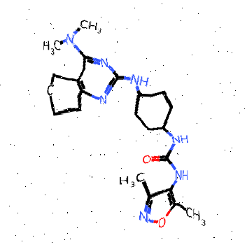 Cc1noc(C)c1NC(=O)NC1CCC(Nc2nc3c(c(N(C)C)n2)CCCC3)CC1